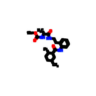 CC1CCC(C(C)C)C(C(=O)Nc2ccccc2CCNC(=O)C(C)NC(=O)OC(C)(C)C)C1